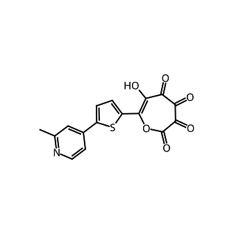 Cc1cc(-c2ccc(C3=C(O)C(=O)C(=O)C(=O)C(=O)O3)s2)ccn1